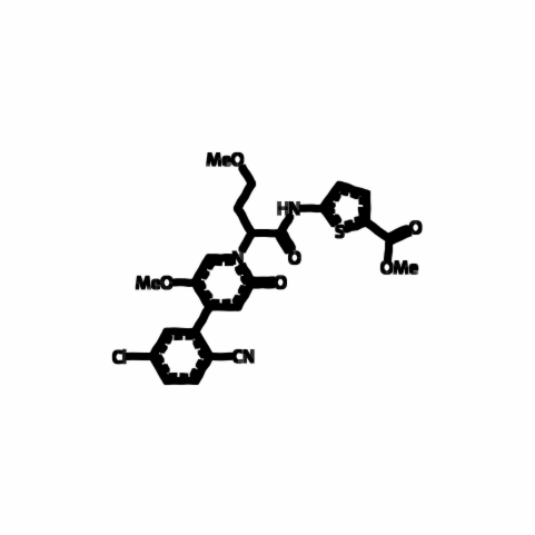 COCCC(C(=O)Nc1ccc(C(=O)OC)s1)n1cc(OC)c(-c2cc(Cl)ccc2C#N)cc1=O